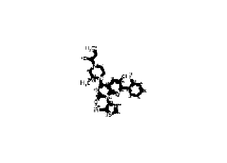 C=CC(=O)N1CCN(c2nc(=O)n(-c3ncsc3C(C)C)c3nc(-c4ccccc4F)c(Cl)cc23)[C@@H](C)C1